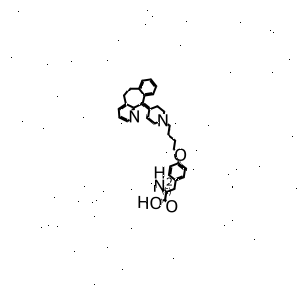 N[C@@H](Cc1ccc(OCCCCN2CCC(=C3c4ccccc4CCc4cccnc43)CC2)cc1)C(=O)O